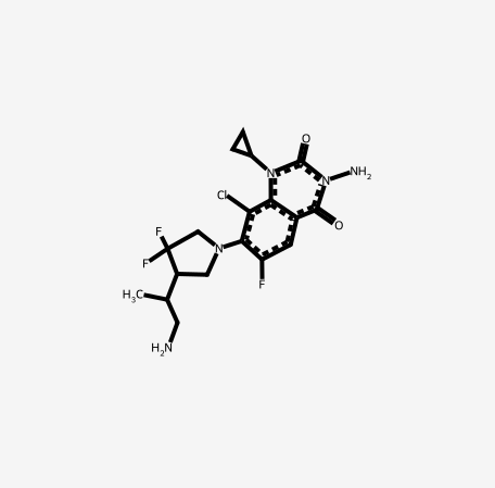 CC(CN)C1CN(c2c(F)cc3c(=O)n(N)c(=O)n(C4CC4)c3c2Cl)CC1(F)F